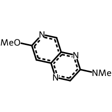 CNc1cnc2cc(OC)ncc2n1